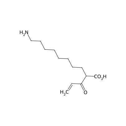 C=CC(=O)C(CCCCCCCCN)C(=O)O